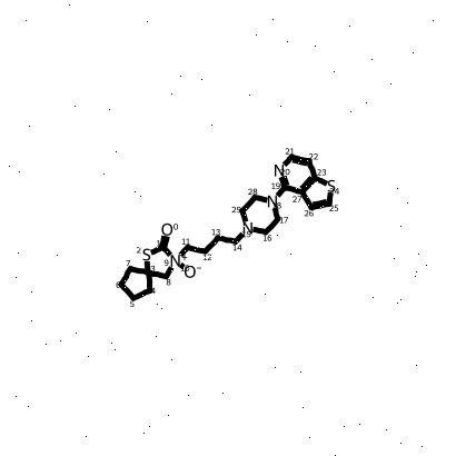 O=C1SC2(CCCC2)C[N+]1([O-])CCCCN1CCN(c2nccc3sccc23)CC1